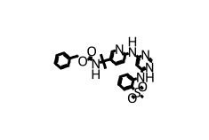 CC(C)(NC(=O)OCc1ccccc1)c1ccc(Nc2cc(Nc3ccccc3S(C)(=O)=O)ncn2)nc1